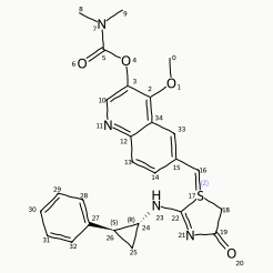 COc1c(OC(=O)N(C)C)cnc2ccc(/C=S3/CC(=O)N=C3N[C@@H]3C[C@H]3c3ccccc3)cc12